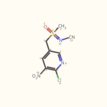 CS(=O)(Cc1cnc(Cl)c([N+](=O)[O-])c1)=NC#N